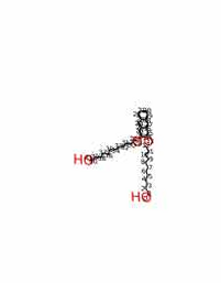 OCCCCCCCCCCCCOc1cc2cc3ccccc3cc2cc1OCCCCCCCCCCCCO